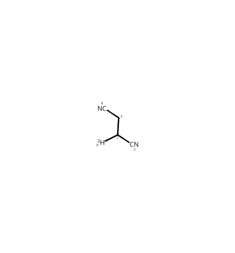 [2H]C(C#N)CC#N